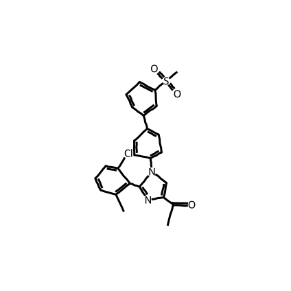 CC(=O)c1cn(-c2ccc(-c3cccc(S(C)(=O)=O)c3)cc2)c(-c2c(C)cccc2Cl)n1